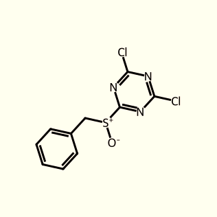 [O-][S+](Cc1ccccc1)c1nc(Cl)nc(Cl)n1